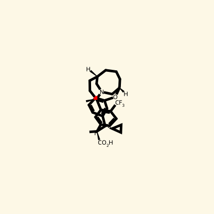 C[C@H](C(=O)O)[C@H](c1ccc2c(c1)O[C@H]1CCC[C@@H](CC2)CN([C@H](C)c2cc(F)ccc2C(F)(F)F)C1)C1CC1